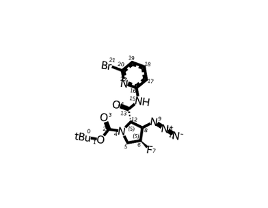 CC(C)(C)OC(=O)N1C[C@H](F)C(N=[N+]=[N-])[C@H]1C(=O)Nc1cccc(Br)n1